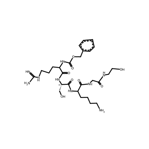 N=C(N)NCCCC(NC(=O)OCc1ccccc1)C(=O)N[C@@H](CO)C(=O)NC(CCCCN)C(=O)NCC(=O)NCCO